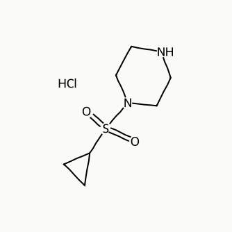 Cl.O=S(=O)(C1CC1)N1CCNCC1